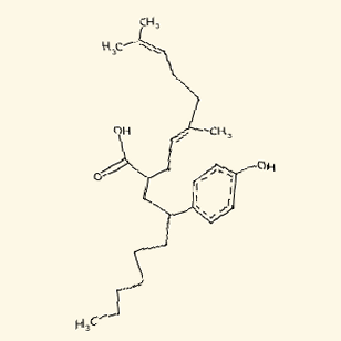 CCCCCCC(CC(C/C=C(\C)CCC=C(C)C)C(=O)O)c1ccc(O)cc1